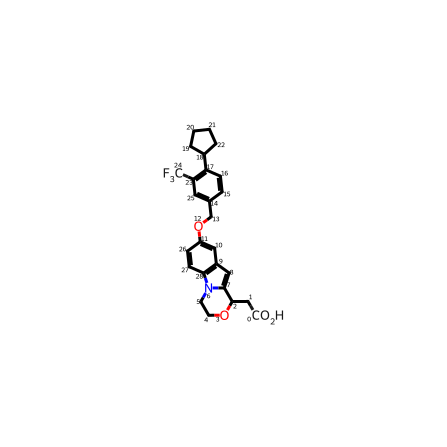 O=C(O)CC1OCCn2c1cc1cc(OCc3ccc(C4CCCC4)c(C(F)(F)F)c3)ccc12